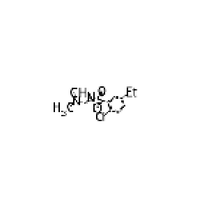 CCc1ccc(Cl)c(S(=O)(=O)/N=C/N(C)C)c1